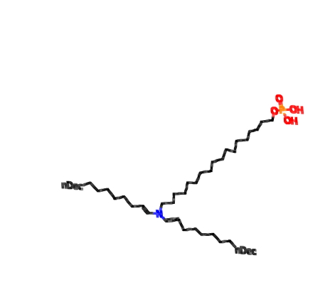 CCCCCCCCCCCCCCCCC=CN(C=CCCCCCCCCCCCCCCCC)CCCCCCCCCCCCCCCCCCOP(=O)(O)O